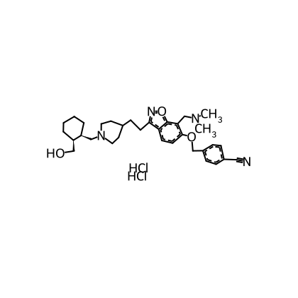 CN(C)Cc1c(OCc2ccc(C#N)cc2)ccc2c(CCC3CCN(C[C@@H]4CCCC[C@@H]4CO)CC3)noc12.Cl.Cl